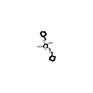 O[C@H]1[C@@H](OCc2ccccc2)[C@H](O)O[C@@H]1COCc1ccccc1